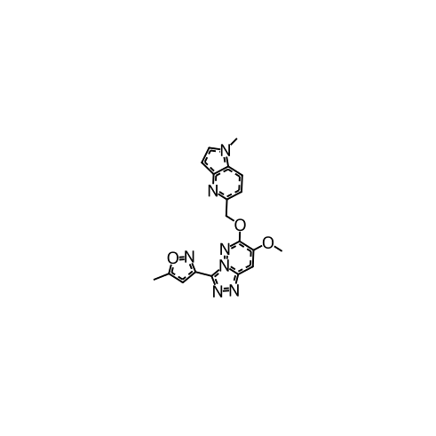 COc1cc2nnc(-c3cc(C)on3)n2nc1OCc1ccc2c(ccn2C)n1